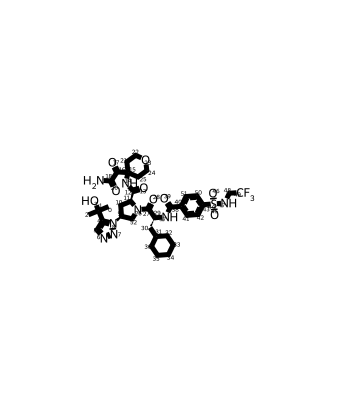 CC(C)(O)c1cnnn1[C@H]1C[C@@H](C(=O)NC2(C(=O)C(N)=O)CCOCC2)N(C(=O)[C@@H](CC2CCCCC2)NC(=O)c2ccc(S(=O)(=O)NCC(F)(F)F)cc2)C1